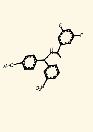 COc1ccc(C(NC(C)c2cc(F)cc(F)c2)c2cccc([N+](=O)[O-])c2)cc1